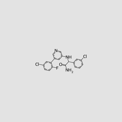 NC(=O)C(Nc1cncc(-c2cc(Cl)ccc2F)c1)c1cccc(Cl)c1